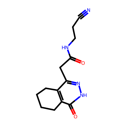 N#CCCNC(=O)Cc1n[nH]c(=O)c2c1CCCC2